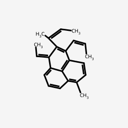 C/C=C\c1c(/C(C)=C\C)/c(=C\C)c2cccc3c(C)ccc1c32